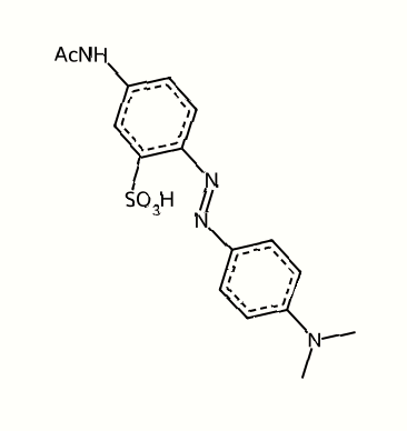 CC(=O)Nc1ccc(N=Nc2ccc(N(C)C)cc2)c(S(=O)(=O)O)c1